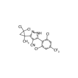 CC1(c2n[nH]c(-c3c(Cl)cc(C(F)(F)F)cc3Cl)c2C#N)CC1(Cl)Cl